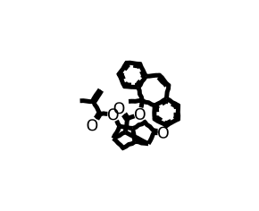 C=C(C)C(=O)OC1C2CC(=O)C3C2CC1C3C(=O)OC1(C)c2ccccc2C=Cc2ccccc21